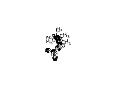 CC(=O)Oc1c(C)c(C)c2c(c1C)CCC(C)(C(=O)N1CCN(c3cc(N4CCCC4)nc(N4CCCC4)n3)CC1)O2